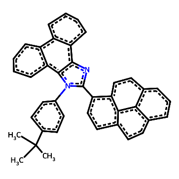 CC(C)(C)c1ccc(-n2c(-c3ccc4ccc5cccc6ccc3c4c56)nc3c4ccccc4c4ccccc4c32)cc1